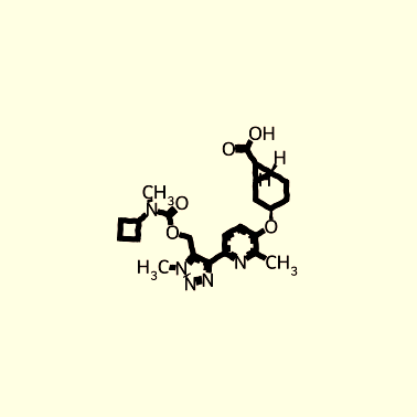 Cc1nc(-c2nnn(C)c2COC(=O)N(C)C2CCC2)ccc1O[C@@H]1CC[C@H]2C(C(=O)O)[C@H]2C1